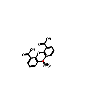 NCc1cccc(C(=O)O)c1Oc1c(CN)cccc1C(=O)O